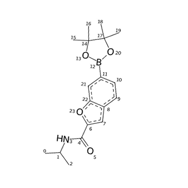 CC(C)NC(=O)c1cc2ccc(B3OC(C)(C)C(C)(C)O3)cc2o1